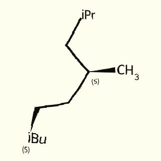 CC[C@H](C)CC[C@H](C)CC(C)C